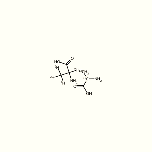 [13CH3][13CH](N)C(=O)O.[2H]C([2H])([2H])C([2H])(N)C(=O)O